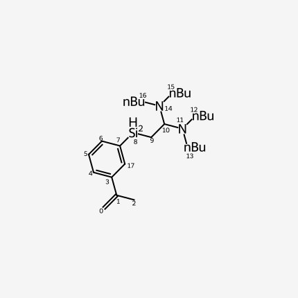 C=C(C)c1cccc([SiH2]CC(N(CCCC)CCCC)N(CCCC)CCCC)c1